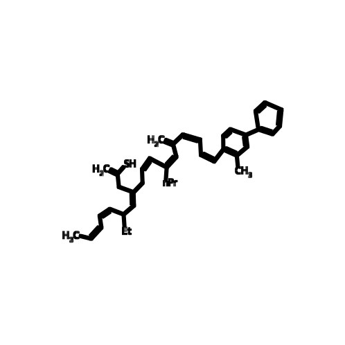 C=C(/C=C\C=C/c1ccc(-c2ccccc2)cc1C)/C=C(\C=C/C/C(=C/C(/C=C\C=C/C)CC)CC(=C)S)CCC